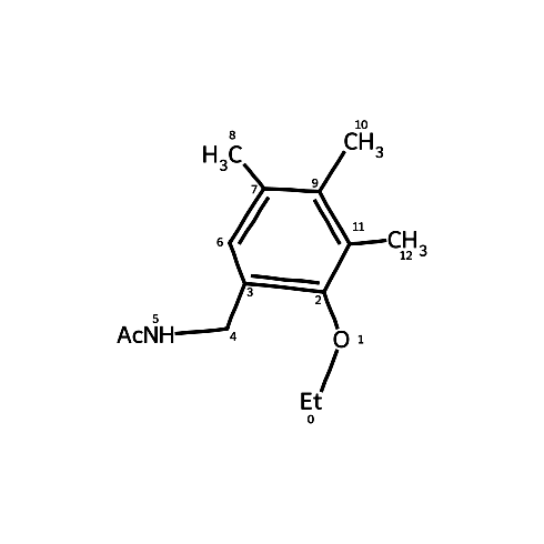 CCOc1c(CNC(C)=O)cc(C)c(C)c1C